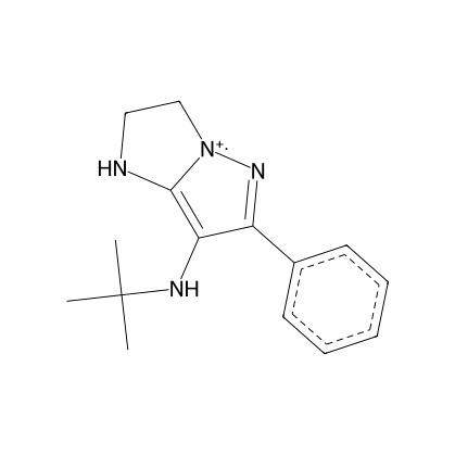 CC(C)(C)NC1=C2NCC[N+]2N=C1c1ccccc1